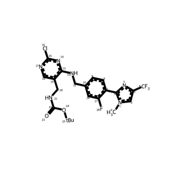 Cn1cc(C(F)(F)F)nc1-c1ccc(CNc2nc(Cl)ncc2CNC(=O)OC(C)(C)C)cc1F